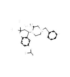 CC1(C)Oc2ccc(SC(F)F)cc2[C@H](N2CCN(Cc3ccccc3)CC2=O)[C@H]1O